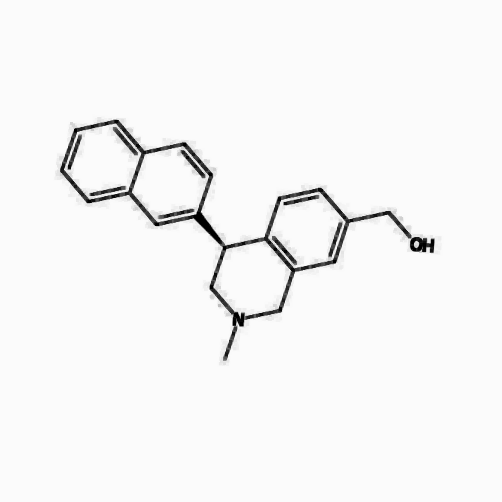 CN1Cc2cc(CO)ccc2[C@H](c2ccc3ccccc3c2)C1